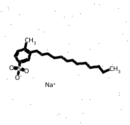 CCCCCCCCCCCCCc1cc(S(=O)(=O)[O-])ccc1C.[Na+]